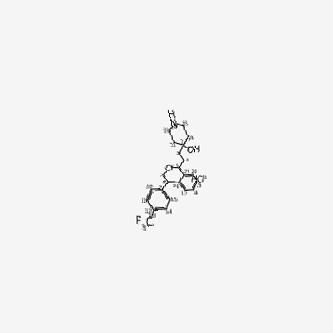 Cl.OC1(CCC2OCC(c3ccc(C(F)(F)F)cc3)c3ccccc32)CCNCC1